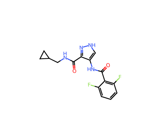 O=C(NCC1CC1)c1n[nH]cc1NC(=O)c1c(F)cccc1F